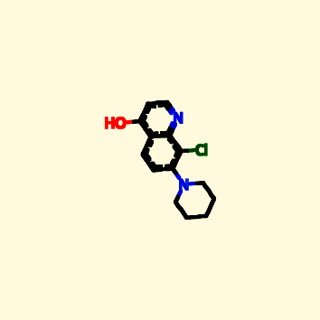 Oc1ccnc2c(Cl)c(N3CCCCC3)ccc12